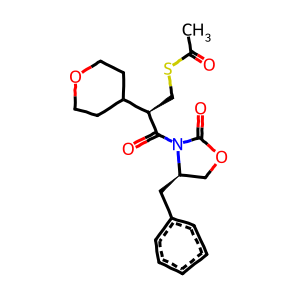 CC(=O)SC[C@@H](C(=O)N1C(=O)OC[C@H]1Cc1ccccc1)C1CCOCC1